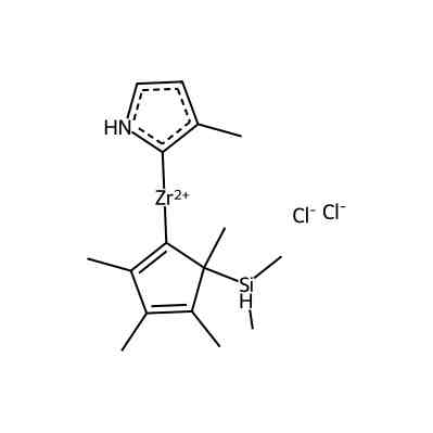 CC1=C(C)C(C)([SiH](C)C)[C]([Zr+2][c]2[nH]ccc2C)=C1C.[Cl-].[Cl-]